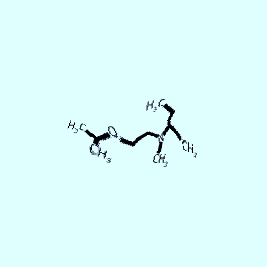 CCC(C)N(C)CCOC(C)C